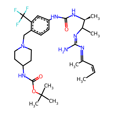 C\C=C/C(C)=N/C(N)=N\C(C)[C@H](C)NC(=O)Nc1ccc(CN2CCC(NC(=O)OC(C)(C)C)CC2)c(C(F)(F)F)c1